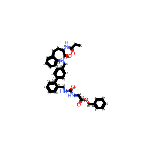 CCC(=O)N[C@@H]1CCc2ccccc2N(Cc2ccc(-c3ccccc3CNC(=O)NCC(=O)OCc3ccccc3)cc2)C1=O